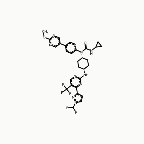 COc1ncc(-c2ccc(N(C(=O)NC3CC3)[C@H]3CC[C@H](Nc4ncc(C(F)(F)F)c(-c5ccn(C(F)F)n5)n4)CC3)nc2)cn1